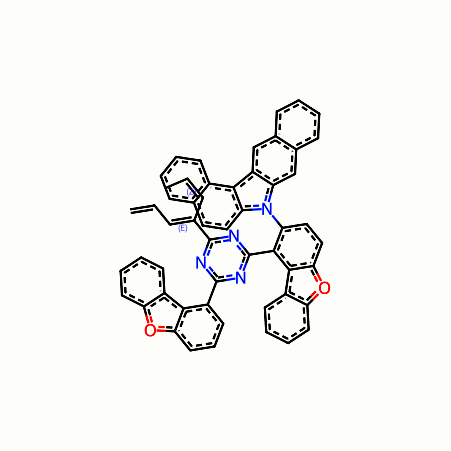 C=C/C=C(\C=C/C)c1nc(-c2cccc3oc4ccccc4c23)nc(-c2c(-n3c4cc5ccccc5cc4c4c5ccccc5ccc43)ccc3oc4ccccc4c23)n1